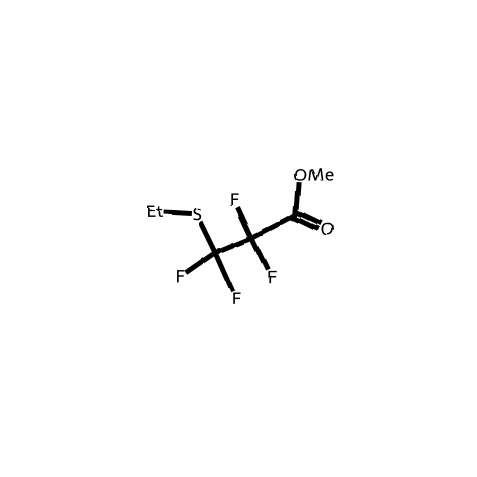 CCSC(F)(F)C(F)(F)C(=O)OC